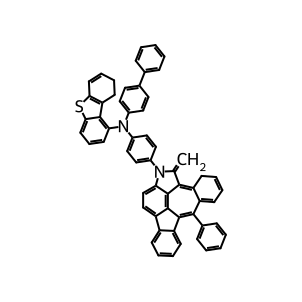 C=c1c2c3c(c(-c4ccccc4)c4c5ccccc5c5ccc(c2c5-4)n1-c1ccc(N(c2ccc(-c4ccccc4)cc2)c2cccc4sc5c(c24)CCC=C5)cc1)=CC=CC3